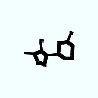 Cc1nnc(-c2cccc(Br)n2)n1C(C)C